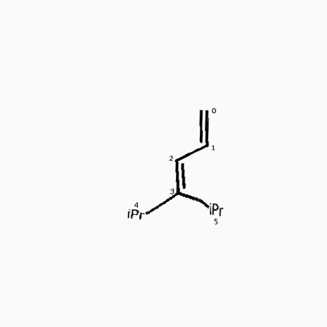 C=CC=C(C(C)C)C(C)C